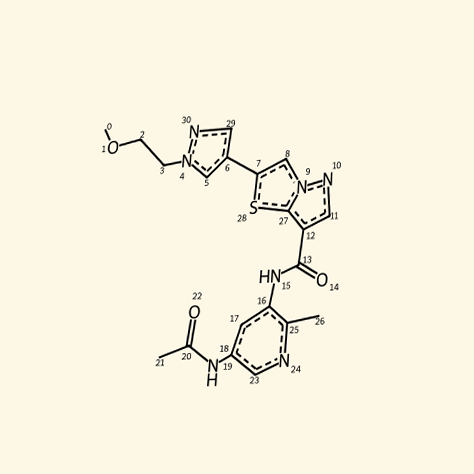 COCCn1cc(-c2cn3ncc(C(=O)Nc4cc(NC(C)=O)cnc4C)c3s2)cn1